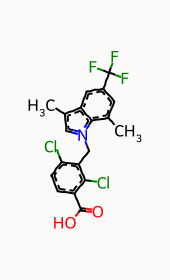 Cc1cn(Cc2c(Cl)ccc(C(=O)O)c2Cl)c2c(C)cc(C(F)(F)F)cc12